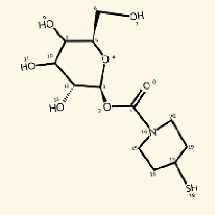 O=C(O[C@@H]1O[C@H](CO)C(O)C(O)[C@H]1O)N1CCC(S)CC1